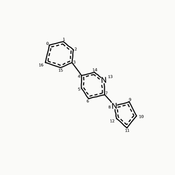 c1ccc(-c2ccc(-n3cccc3)nc2)cc1